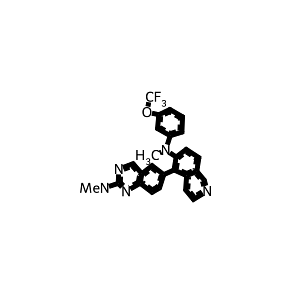 CNc1ncc2cc(-c3c(N(C)c4cccc(OC(F)(F)F)c4)ccc4cnccc34)ccc2n1